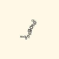 COC(=O)C1CCC(N2CCc3nc(-c4ccc(OCc5cccc(Cl)c5)cc4)ncc3C2)C1